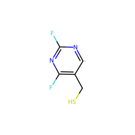 Fc1n[c]c(CS)c(F)n1